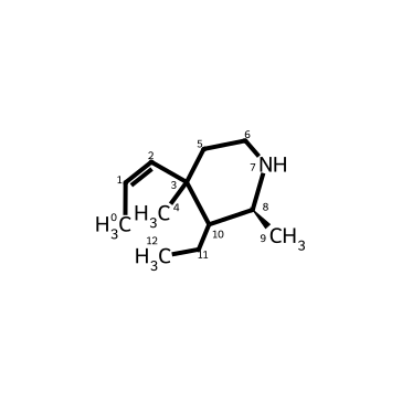 C/C=C\C1(C)CCN[C@@H](C)C1CC